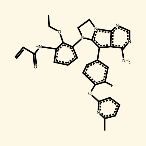 C=CC(=O)Nc1cccc(N2CCn3c2c(-c2ccc(Oc4cccc(C)n4)c(F)c2)c2c(N)ncnc23)c1OCC